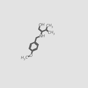 COc1ccc(CNC(CO)C(C)C)cc1